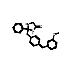 COc1cccc(C=C2C=CC(CC3(c4ccccc4)NCC(=O)N3)C=C2)c1